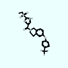 CCS(=O)(=O)c1nc(C(=O)N2CCc3cc(Oc4ccc(C(F)(F)F)cc4)ccc3C2)c[nH]1